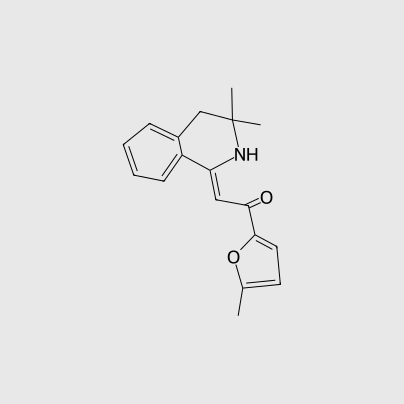 Cc1ccc(C(=O)C=C2NC(C)(C)Cc3ccccc32)o1